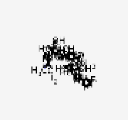 C=C/C(=C\C)c1cn([C@@H]2[C@@H](O)[C@H](N(C)C(=O)c3ccc(C(=O)N(C)[C@@H]4O[C@H](CO)[C@H](O)C(n5cc(-c6cccc(F)c6)nn5)[C@H]4O)cc3)O[C@H](CO)[C@@H]2O)nn1